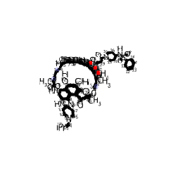 C/C1=C/C=C/[C@H](C)[C@H](O)[C@@H](C)[C@@H](O)[C@@H](C)[C@H](OC(=O)CC(=O)N2CCC(NS(=O)(=O)c3ccccc3)CC2)[C@H](C)[C@@H](C)/C=C/O[C@@]2(C)Oc3c(C)c(O)c4c(c3C2=O)C2=NC3(CCN(CC(C)C)CC3)NC2=C(NC1=O)C4=O